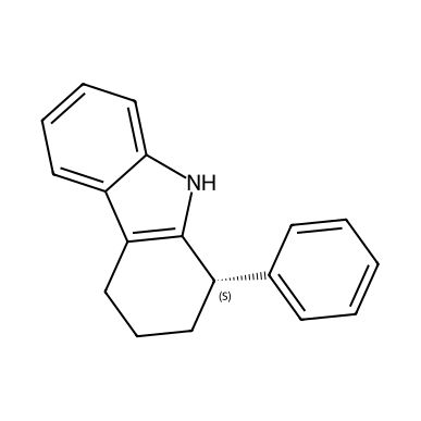 c1ccc([C@@H]2CCCc3c2[nH]c2ccccc32)cc1